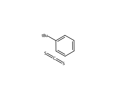 CC(C)(C)c1ccccc1.S=C=S